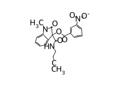 CCCCNC(=O)C1(OC(=O)c2cccc([N+](=O)[O-])c2)C(=O)N(C)c2ccccc21